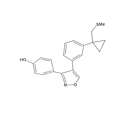 CSCC1(c2cccc(-c3conc3-c3ccc(O)cc3)c2)CC1